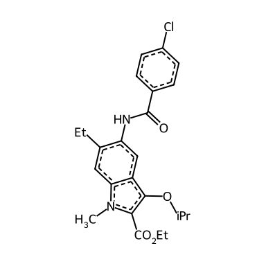 CCOC(=O)c1c(OC(C)C)c2cc(NC(=O)c3ccc(Cl)cc3)c(CC)cc2n1C